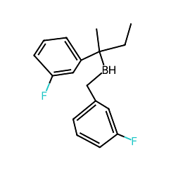 CCC(C)(BCc1cccc(F)c1)c1cccc(F)c1